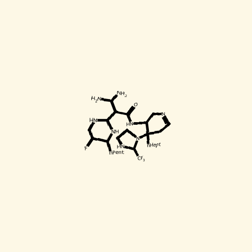 CCCCCCCC1(N2CCNC2C(F)(F)F)CC=NCC1NC(=O)C(C(N)N)C1NCC(F)C(CCCCC)N1